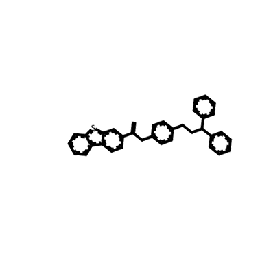 C=C(Cc1ccc(CCC(c2ccccc2)c2ccccc2)cc1)c1ccc2c(c1)sc1ccccc12